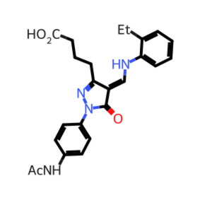 CCc1ccccc1NC=C1C(=O)N(c2ccc(NC(C)=O)cc2)N=C1CCCC(=O)O